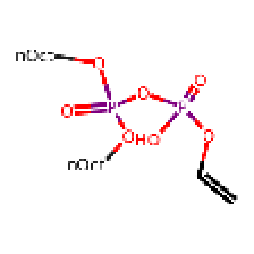 C=COP(=O)(O)OP(=O)(OCCCCCCCC)OCCCCCCCC